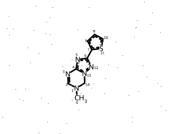 CN1C=Nc2nc(-c3cccs3)nn2C1